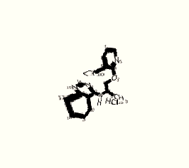 CC(COc1ncccc1Cl)Nc1ncnc2ccccc12.Cl